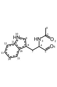 CC(=O)NC([C]=O)Cc1c[nH]c2ccccc12